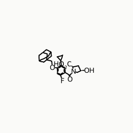 O=C(O)[C@H]1C[C@@H](O)CN1C(=O)c1cc(C2CC2)c(OCC23CC4CC(CC(C4)C2)C3)cc1F